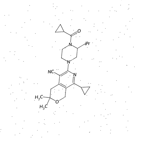 CC(C)C1CN(c2nc(C3CC3)c3c(c2C#N)CC(C)(C)OC3)CCN1C(=O)C1CC1